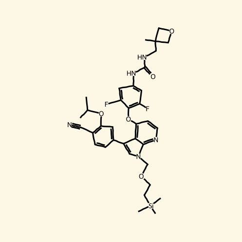 CC(C)Oc1cc(-c2cn(COCC[Si](C)(C)C)c3nccc(Oc4c(F)cc(NC(=O)NCC5(C)COC5)cc4F)c23)ccc1C#N